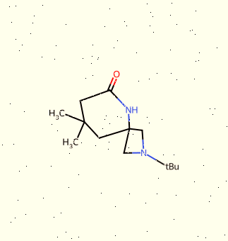 CC1(C)CC(=O)NC2(CN(C(C)(C)C)C2)C1